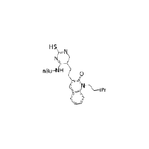 CCCCNC1=NC(S)=NCC1CCc1cc2ccccc2n(CCC(C)C)c1=O